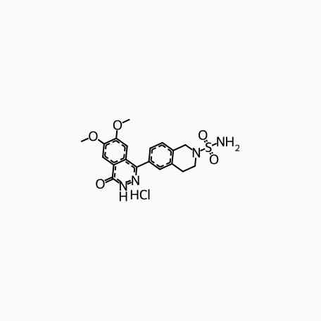 COc1cc2c(-c3ccc4c(c3)CCN(S(N)(=O)=O)C4)n[nH]c(=O)c2cc1OC.Cl